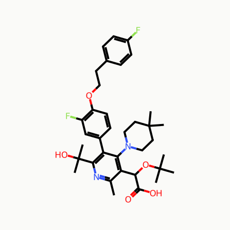 Cc1nc(C(C)(C)O)c(-c2ccc(OCCc3ccc(F)cc3)c(F)c2)c(N2CCC(C)(C)CC2)c1C(OC(C)(C)C)C(=O)O